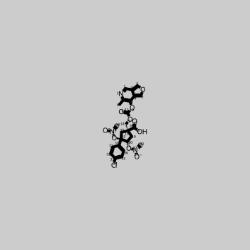 Cc1ncc2cocc2c1OC(=O)OC[C@]1(C(=O)O)C[C@H](O[N+](=O)[O-])[C@](O[N+](=O)[O-])(c2ccc(Cl)cc2)C1